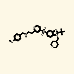 COc1ccc(CNCCc2cc(S(=O)(=O)c3ccc4c(c3)nc(C(C)(C)C)n4CC3CCOCC3)ccn2)cc1